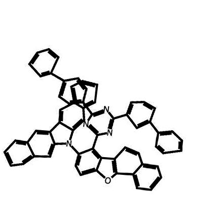 c1ccc(-c2ccc(-c3nc(-c4cccc(-c5ccccc5)c4)nc(-c4c(-n5c6cc7ccccc7cc6c6cc7ccccc7cc65)ccc5oc6c7ccccc7ccc6c45)n3)cc2)cc1